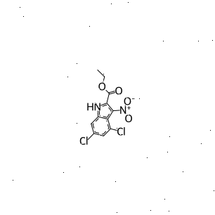 CCOC(=O)c1[nH]c2cc(Cl)cc(Cl)c2c1[N+](=O)[O-]